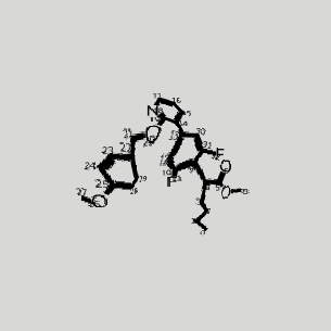 CCCCC(C(=O)OC)c1c(F)cc(-c2cccnc2OCc2ccc(OC)cc2)cc1F